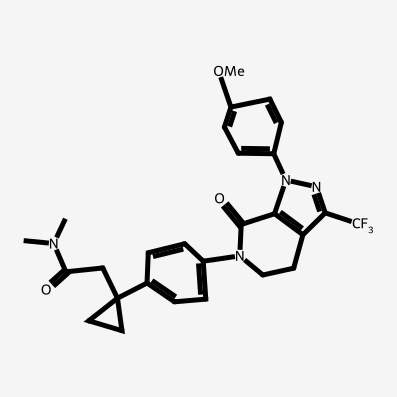 COc1ccc(-n2nc(C(F)(F)F)c3c2C(=O)N(c2ccc(C4(CC(=O)N(C)C)CC4)cc2)CC3)cc1